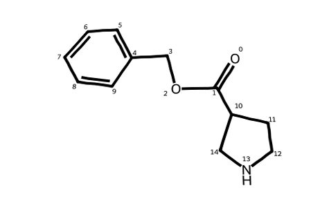 O=C(OCc1ccccc1)C1CCNC1